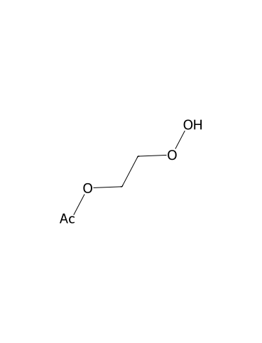 CC(=O)OCCOO